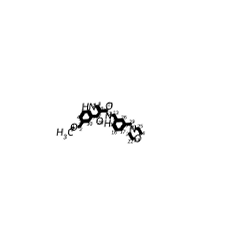 COCc1ccc2[nH]cc(C(=O)NCc3cccc(CN4CCOCC4)c3)c(=O)c2c1